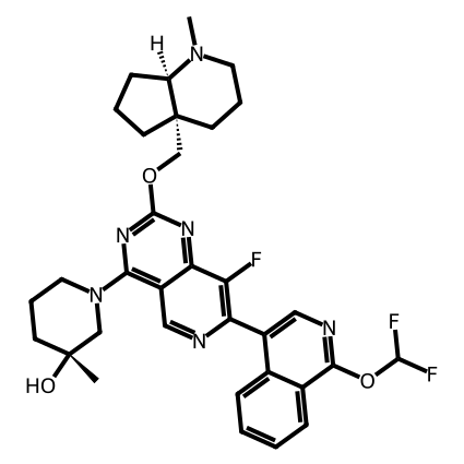 CN1CCC[C@@]2(COc3nc(N4CCC[C@@](C)(O)C4)c4cnc(-c5cnc(OC(F)F)c6ccccc56)c(F)c4n3)CCC[C@@H]12